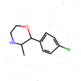 CC1NCCOC1c1ccc(Br)cc1